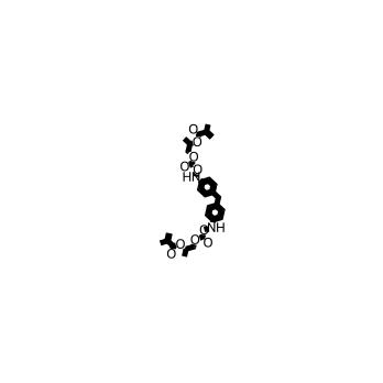 C=C(C)C(=O)OC(C)COC(=O)ONc1ccc(Cc2ccc(NOC(=O)OCC(C)OC(=O)C(=C)C)cc2)cc1